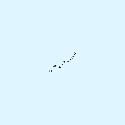 O=COC=O.[LiH]